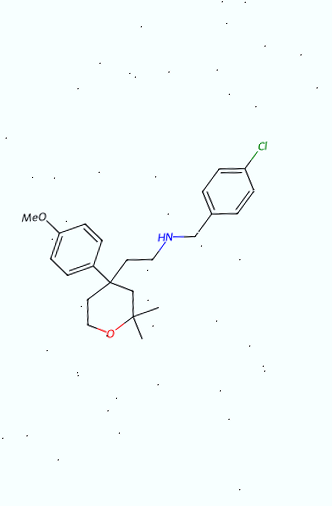 COc1ccc(C2(CCNCc3ccc(Cl)cc3)CCOC(C)(C)C2)cc1